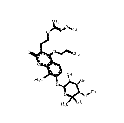 C=CCOc1c(CCOC(C)=NOC)c(=O)oc2c(C)c(O[C@@H]3OC(C)(C)[C@H](OC)[C@H](O)[C@H]3O)ccc12